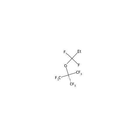 CCC(F)(F)OC(C(F)(F)F)(C(F)(F)F)C(F)(F)F